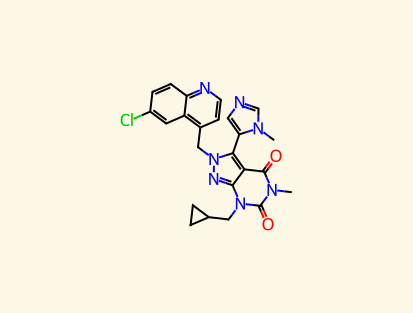 Cn1cncc1-c1c2c(=O)n(C)c(=O)n(CC3CC3)c2nn1Cc1ccnc2ccc(Cl)cc12